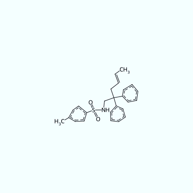 CC=CCC(CNS(=O)(=O)c1ccc(C)cc1)(c1ccccc1)c1ccccc1